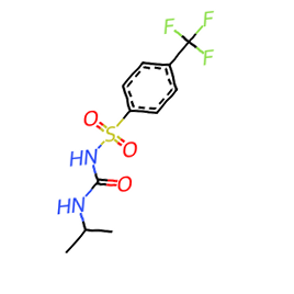 CC(C)NC(=O)NS(=O)(=O)c1ccc(C(F)(F)F)cc1